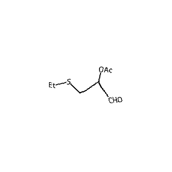 CCSCC(C=O)OC(C)=O